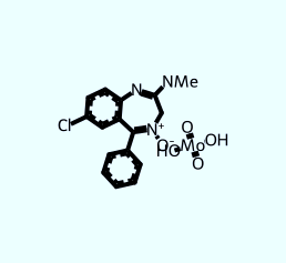 CNC1=Nc2ccc(Cl)cc2C(c2ccccc2)=[N+]([O-])C1.[O]=[Mo](=[O])([OH])[OH]